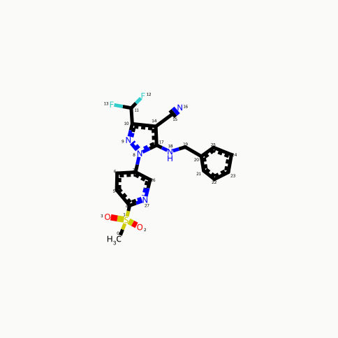 CS(=O)(=O)c1ccc(-n2nc(C(F)F)c(C#N)c2NCc2ccccc2)cn1